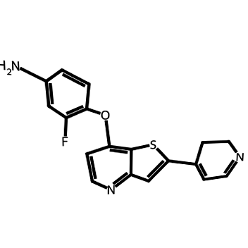 Nc1ccc(Oc2ccnc3cc(C4=CC=NCC4)sc23)c(F)c1